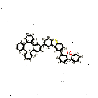 c1ccc2c(c1)-c1ccccc1-c1ccc(-c3ccc4sc5ccc(-c6cccc7c6oc6ccccc67)cc5c4c3)cc1-c1ccccc1-2